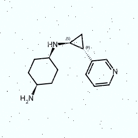 N[C@H]1CC[C@@H](N[C@H]2C[C@@H]2c2cccnc2)CC1